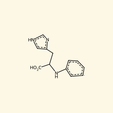 O=C(O)C(Cc1c[nH]cn1)Nc1c[c]ccc1